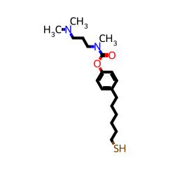 CN(C)CCCN(C)C(=O)Oc1ccc(CCCCCCS)cc1